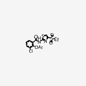 CCS(=O)(=O)c1csc(NC(=O)c2cccc(Cl)c2OC(C)=O)n1